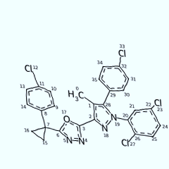 Cc1c(-c2nnc(C3(c4ccc(Cl)cc4)CC3)o2)nn(-c2cc(Cl)ccc2Cl)c1-c1ccc(Cl)cc1